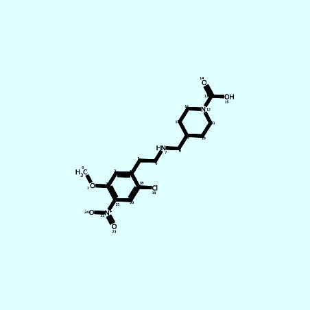 COc1cc(CCNCC2CCN(C(=O)O)CC2)c(Cl)cc1[N+](=O)[O-]